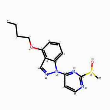 CCCCOc1cccc2c1cnn2-c1ccnc([S+](C)[O-])n1